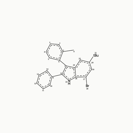 Cc1ccccc1-c1c(-c2ccccc2)[nH]c2c(Br)cc(C(C)(C)C)cc12